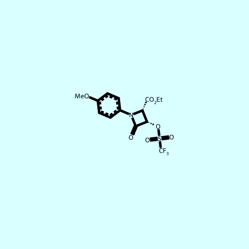 CCOC(=O)[C@@H]1[C@H](OS(=O)(=O)C(F)(F)F)C(=O)N1c1ccc(OC)cc1